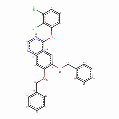 Fc1c(Br)cccc1Oc1ncnc2cc(OCc3ccccc3)c(OCc3ccccc3)cc12